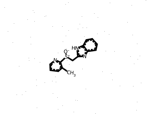 Cc1cccnc1[S+]([O-])Cc1nc2ccccc2[nH]1